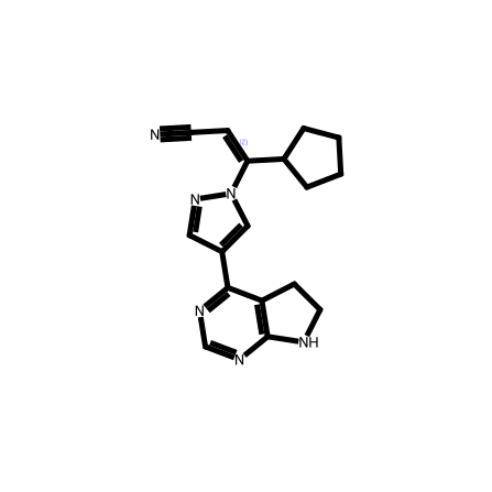 N#C/C=C(/C1CCCC1)n1cc(-c2ncnc3c2CCN3)cn1